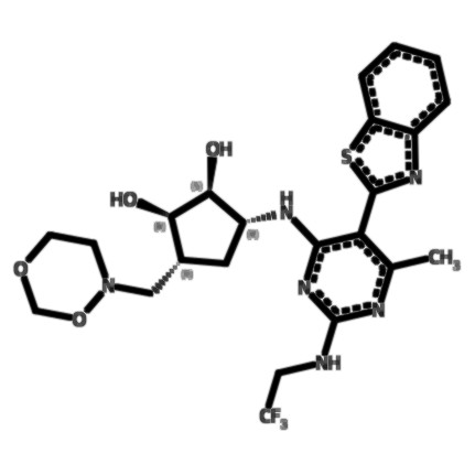 Cc1nc(NCC(F)(F)F)nc(N[C@@H]2C[C@H](CN3CCOCO3)[C@@H](O)[C@H]2O)c1-c1nc2ccccc2s1